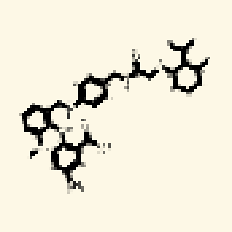 COc1cccc(CNc2ccc(CNC(=O)COC3CCCC(C)C3C(C)C)cc2)c1Oc1ccc(N)cc1C(=O)O